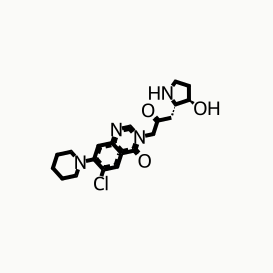 O=C(C[C@@H]1NCC[C@H]1O)Cn1cnc2cc(N3CCCCC3)c(Cl)cc2c1=O